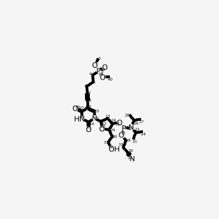 COP(=O)(CCCC#Cc1cn(C2CC(OP(OCCC#N)N(C(C)C)C(C)C)C(CCO)O2)c(=O)[nH]c1=O)OC